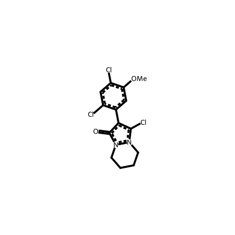 COc1cc(-c2c(Cl)n3n(c2=O)CCCC3)c(Cl)cc1Cl